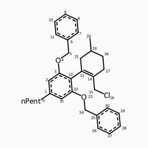 CCCCCc1cc(OCc2ccccc2)c(C2=C(CCl)CCC(C)C2)c(OCc2ccccc2)c1